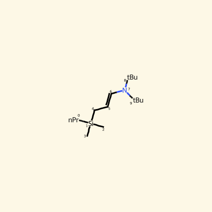 CCC[Si](C)(C)CC=CN(C(C)(C)C)C(C)(C)C